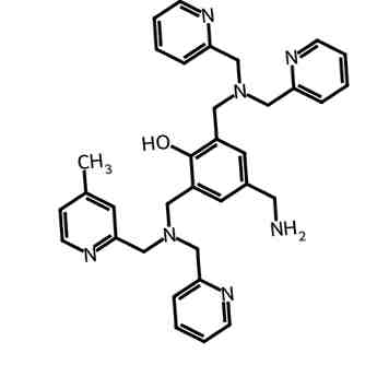 Cc1ccnc(CN(Cc2ccccn2)Cc2cc(CN)cc(CN(Cc3ccccn3)Cc3ccccn3)c2O)c1